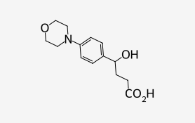 O=C(O)CCC(O)c1ccc(N2CCOCC2)cc1